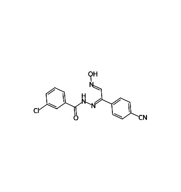 N#Cc1ccc(C(/C=N/O)=N/NC(=O)c2cccc(Cl)c2)cc1